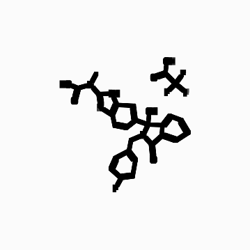 CN(C(=O)O)c1nc2ccc(C3(O)c4ccccc4C(=O)N3Cc3ccc(F)cc3)cc2[nH]1.O=C(O)C(F)(F)F